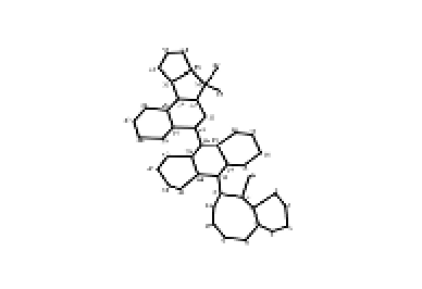 CC1C2CCCCC2CCCCC1C1C2CCCCC2C(C2CC3C(C4CCCCC24)C2CCCC2C3(C)C)C2CCCCC21